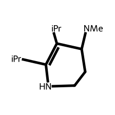 CNC1CCNC(C(C)C)=C1C(C)C